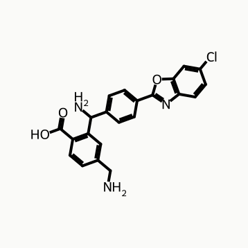 NCc1ccc(C(=O)O)c(C(N)c2ccc(-c3nc4ccc(Cl)cc4o3)cc2)c1